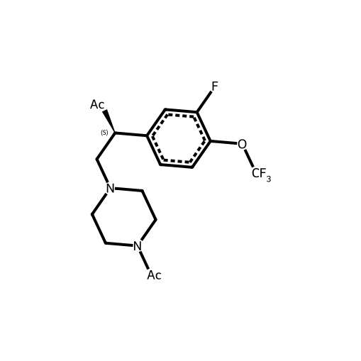 CC(=O)[C@H](CN1CCN(C(C)=O)CC1)c1ccc(OC(F)(F)F)c(F)c1